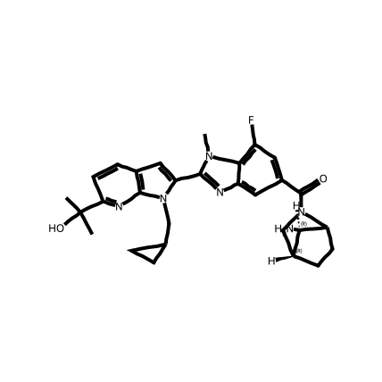 Cn1c(-c2cc3ccc(C(C)(C)O)nc3n2CC2CC2)nc2cc(C(=O)N3C[C@H]4CCC3[C@@H]4N)cc(F)c21